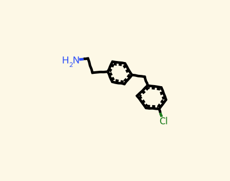 NCCc1ccc(Cc2ccc(Cl)cc2)cc1